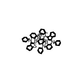 CC1(C)C2=C(c3ccccc31)N(c1ccccc1)c1cccc3c1B2c1cc2c(cc1N3c1ccccc1)B1c3sc4ccccc4c3N(c3ccccc3)c3cccc(c31)N2c1ccccc1